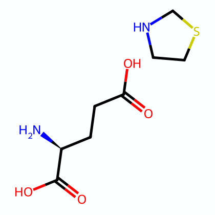 C1CSCN1.N[C@@H](CCC(=O)O)C(=O)O